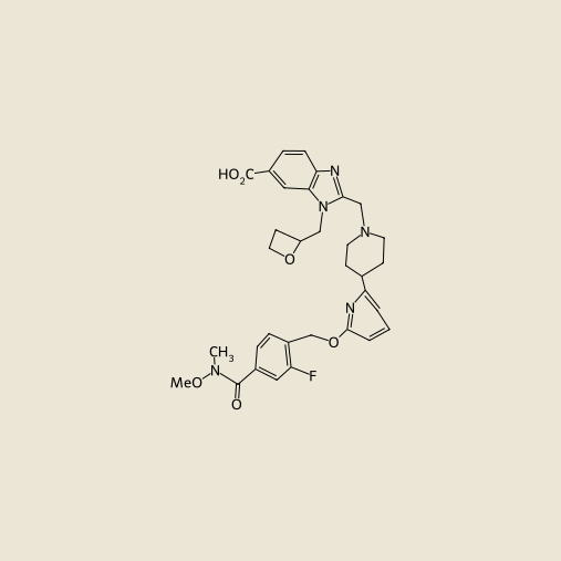 CON(C)C(=O)c1ccc(COc2cccc(C3CCN(Cc4nc5ccc(C(=O)O)cc5n4CC4CCO4)CC3)n2)c(F)c1